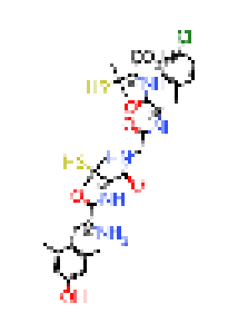 Cc1cc(O)cc(C)c1C[C@H](N)C(=O)N[C@@H](C(=O)NCC(=O)N[C@@H](Cc1ccc(Cl)cc1)C(=O)N[C@@H](C(=O)O)C(C)(C)S)C(C)(C)S